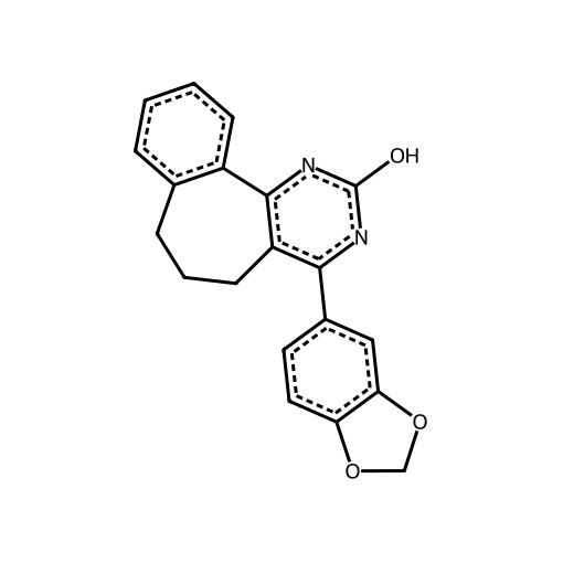 Oc1nc(-c2ccc3c(c2)OCO3)c2c(n1)-c1ccccc1CCC2